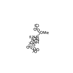 COC(CCn1cnc2c(NC(=O)OC(C)(C)CC(=O)OCc3oc(=O)oc3C)nc(F)nc21)COC(=O)C12CCC(CC1)C2